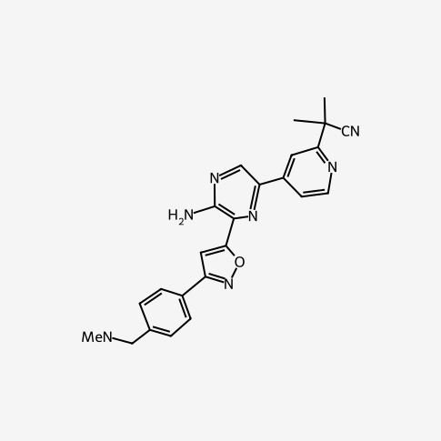 CNCc1ccc(-c2cc(-c3nc(-c4ccnc(C(C)(C)C#N)c4)cnc3N)on2)cc1